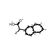 O=C(O)C(F)c1ccc2ccccc2c1